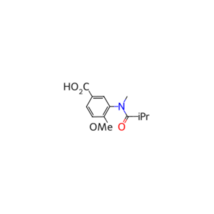 COc1ccc(C(=O)O)cc1N(C)C(=O)C(C)C